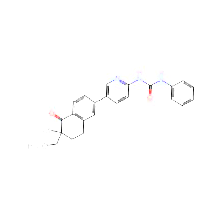 CCC1(CC(=O)O)CCc2cc(-c3ccc(NC(=O)Nc4ccccc4)nc3)ccc2C1=O